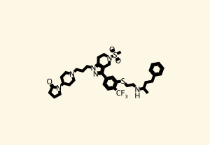 CC(CCc1ccccc1)NCCSc1cc(-c2nn(CCCN3CCC(N4CCCC4=O)CC3)c3c2CN(S(C)(=O)=O)CC3)ccc1C(F)(F)F